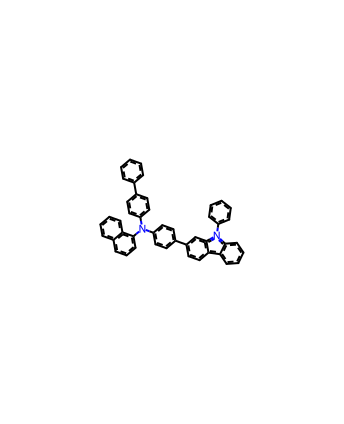 c1ccc(-c2ccc(N(c3ccc(-c4ccc5c6ccccc6n(-c6ccccc6)c5c4)cc3)c3cccc4ccccc34)cc2)cc1